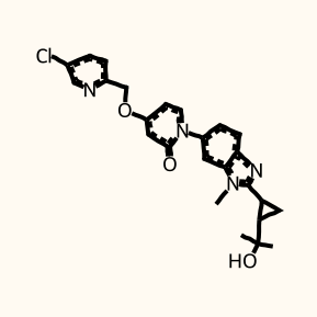 Cn1c(C2CC2C(C)(C)O)nc2ccc(-n3ccc(OCc4ccc(Cl)cn4)cc3=O)cc21